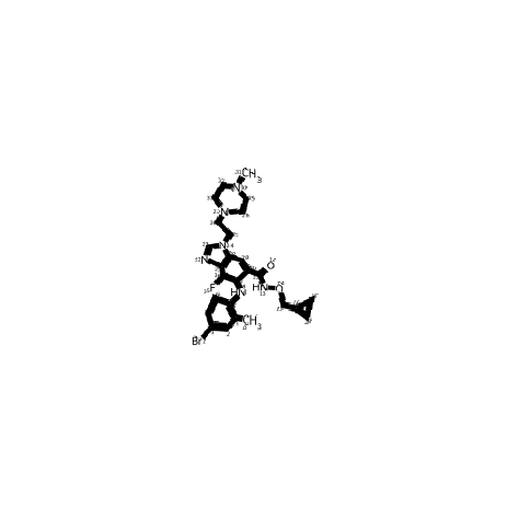 Cc1cc(Br)ccc1Nc1c(C(=O)NOCC2CC2)cc2c(ncn2CCN2CCN(C)CC2)c1F